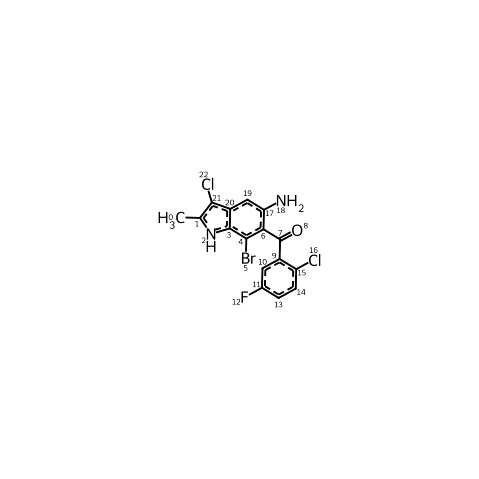 Cc1[nH]c2c(Br)c(C(=O)c3cc(F)ccc3Cl)c(N)cc2c1Cl